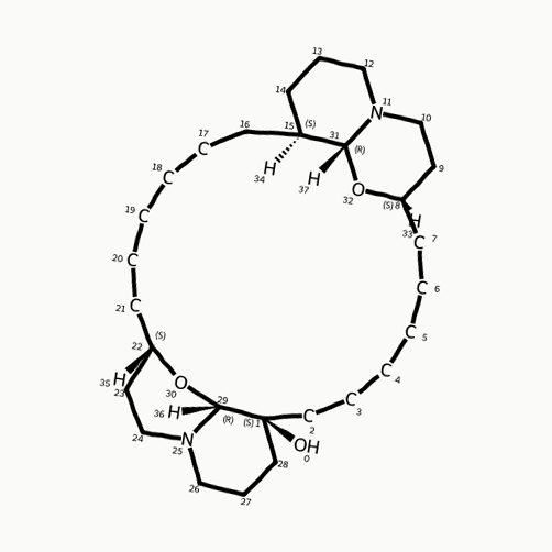 O[C@@]12CCCCCC[C@H]3CCN4CCC[C@H](CCCCCC[C@H]5CCN(CCC1)[C@@H]2O5)[C@H]4O3